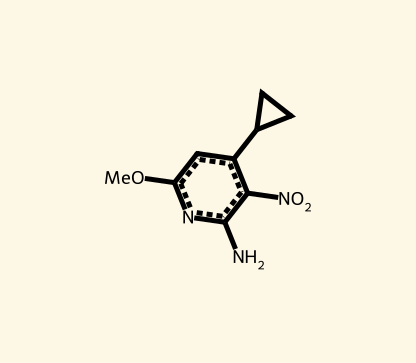 COc1cc(C2CC2)c([N+](=O)[O-])c(N)n1